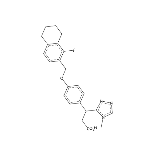 Cn1cnnc1C(CC(=O)O)c1ccc(OCc2ccc3c(c2F)CCCC3)cc1